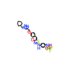 O=C1N=C(Nc2ccc(NS(=O)(=O)C(F)(F)F)cc2)S/C1=C/c1ccc(OCc2cn(CC3CCCCC3)nn2)cc1